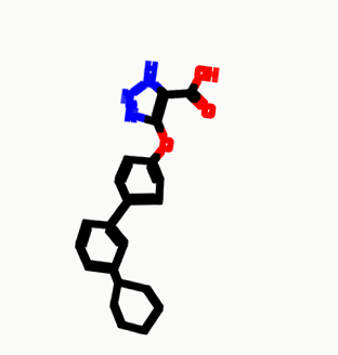 O=C(O)c1[nH]nnc1Oc1ccc(-c2cccc(C3CCCCC3)c2)cc1